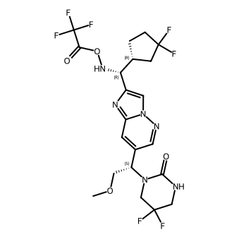 COC[C@H](c1cnn2cc([C@H](NOC(=O)C(F)(F)F)[C@@H]3CCC(F)(F)C3)nc2c1)N1CC(F)(F)CNC1=O